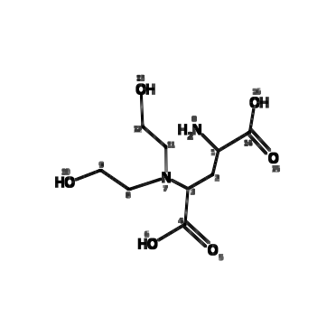 NC(CC(C(=O)O)N(CCO)CCO)C(=O)O